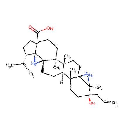 C=CC[C@]1(O)CC[C@]2(C)[C@H]3CC[C@@]45N[C@]46[C@H](C(=C)C)CC[C@]6(C(=O)O)CC[C@@]5(C)[C@]3(C)CC[C@]23NC13C